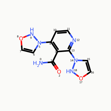 NC(=O)c1c(N2C=CON2)ccnc1N1C=CON1